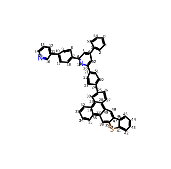 c1ccc(-c2cc(-c3ccc(-c4cccnc4)cc3)nc(-c3ccc(-c4ccc5c(c4)c4ccccc4c4cc6sc7ccccc7c6cc54)cc3)c2)cc1